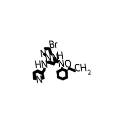 C=CC(=O)[C@H]1CCCC[C@H]1Nc1cc(NCc2cccnc2)n2ncc(Br)c2n1